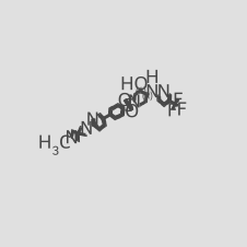 CN1CC2(C1)CN(c1ccc(-c3ccc(S(=O)(=O)N4CC[C@@H](Nc5ccc(C(F)(F)F)cn5)[C@@H](O)C4)cc3)cn1)C2